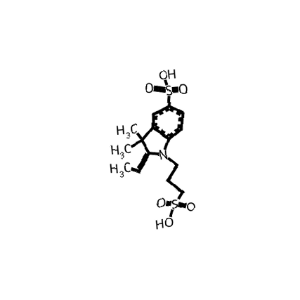 C/C=C1/N(CCCS(=O)(=O)O)c2ccc(S(=O)(=O)O)cc2C1(C)C